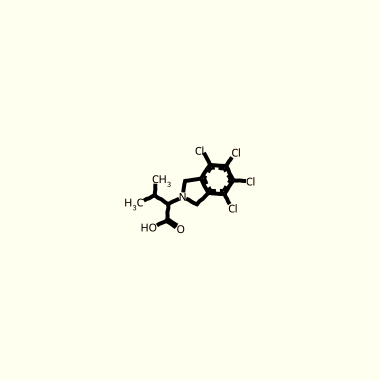 CC(C)C(C(=O)O)N1Cc2c(Cl)c(Cl)c(Cl)c(Cl)c2C1